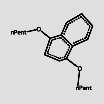 CCCCCOc1ccc(OCCCCC)c2ccccc12